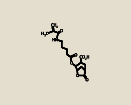 C=C(C)C(=O)NCCCCC(=O)OC1C2CC(CC1C(=O)O)C(=O)O2